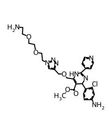 COC(=O)C1=C(COCc2cn(CCOCCOCCN)nn2)NC(c2ccncc2)=NC1c1ccc(N)cc1Cl